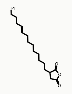 CC(C)CCCC=CCCCCCCCCC1CC(=O)OC1=O